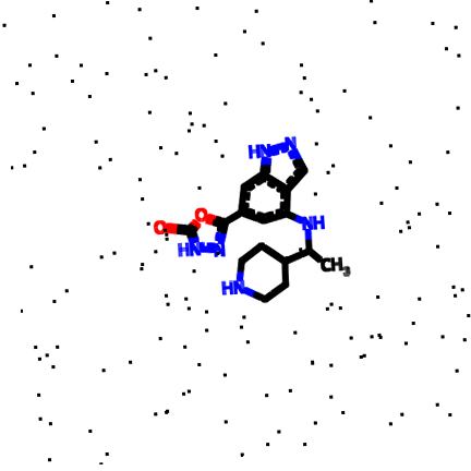 CC(Nc1cc(-c2n[nH]c(=O)o2)cc2[nH]ncc12)C1CCNCC1